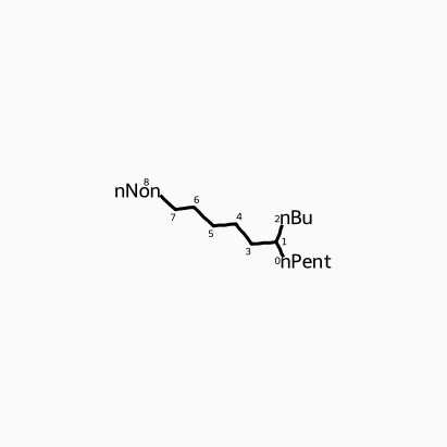 [CH2]CCCCC(CCCC)CCCCCCCCCCCCCC